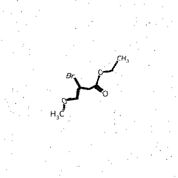 CCOC(=O)C(Br)COC